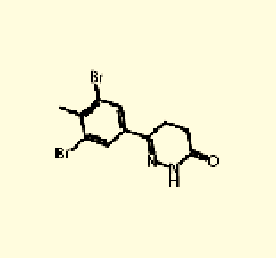 Cc1c(Br)cc(C2=NNC(=O)CC2)cc1Br